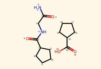 NC(=O)CNC(=O)C1CCCC1.O=C(O)C1CCCC1